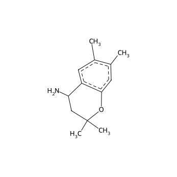 Cc1cc2c(cc1C)C(N)CC(C)(C)O2